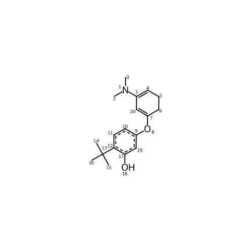 CN(C)C1=CCCC(Oc2ccc(C(C)(C)C)c(O)c2)=C1